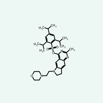 Cc1nc(OS(=O)(=O)c2c(C(C)C)cc(C(C)C)cc2C(C)C)c2cc3c(cc2n1)CCN3CCN1CCOCC1